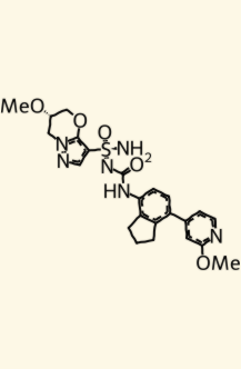 COc1cc(-c2ccc(NC(=O)N=[S@@](N)(=O)c3cnn4c3OC[C@@H](OC)C4)c3c2CCC3)ccn1